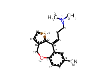 CN(C)CC/C=C1/c2cc(C#N)ccc2OCc2ccsc21